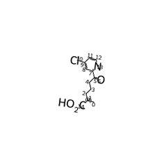 C[C@H](CCCC(=O)c1cc(Cl)ccn1)C(=O)O